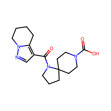 O=C(O)N1CCC2(CCCN2C(=O)c2cnn3c2CCCC3)CC1